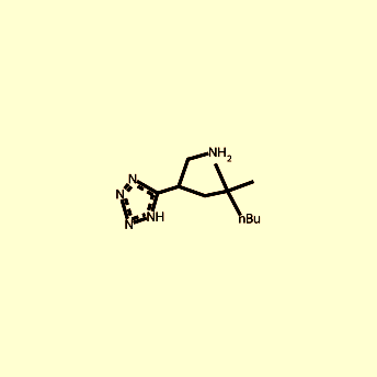 CCCCC(C)(C)CC(CN)c1nnn[nH]1